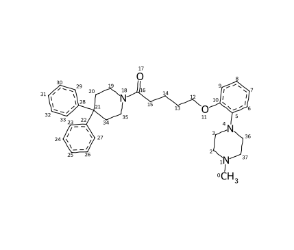 CN1CCN(c2ccccc2OCCCCC(=O)N2CCC(c3ccccc3)(c3ccccc3)CC2)CC1